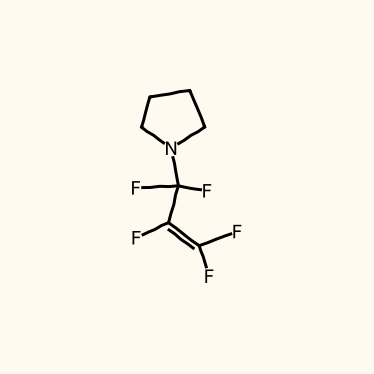 FC(F)=C(F)C(F)(F)N1CCCC1